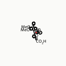 COc1ccc(CC[C@@H](OC(=O)C2CCCCN2S(=O)(=O)c2ccc(Oc3ccccc3)cc2)c2cccc(OCC(=O)O)c2)cc1OC